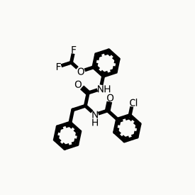 O=C(NC(Cc1ccccc1)C(=O)Nc1ccccc1OC(F)F)c1ccccc1Cl